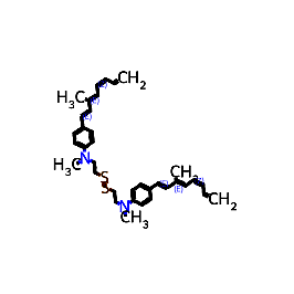 C=C\C=C/C=C(C)/C=C/c1ccc(N(C)CCSSCCN(C)c2ccc(/C=C/C(C)=C/C=C\C=C)cc2)cc1